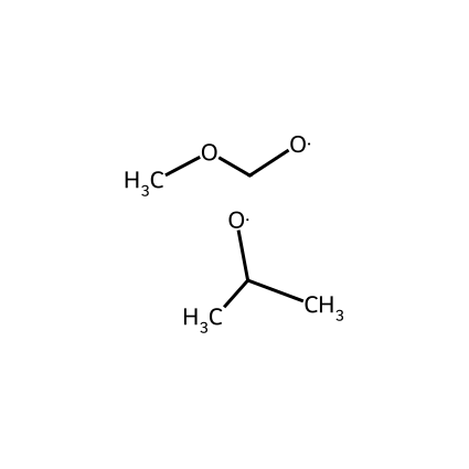 CC(C)[O].COC[O]